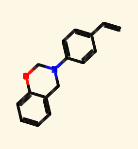 C=Cc1ccc(N2COc3ccccc3C2)cc1